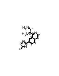 Cc1nc(-c2ccc3ccnc(C(N)CN)c3c2)no1